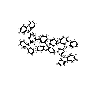 c1ccc([Si](c2ccccc2)(c2cccc(-c3nc(-n4c5ccccc5c5ccccc54)cc(-n4c5ccccc5c5ccccc54)n3)c2)c2cccc(-c3nc(-n4c5ccccc5c5ccccc54)cc(-n4c5ccccc5c5ccccc54)n3)c2)cc1